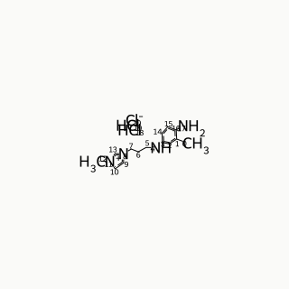 Cc1cc(NCCCn2cc[n+](C)c2)ccc1N.Cl.Cl.[Cl-]